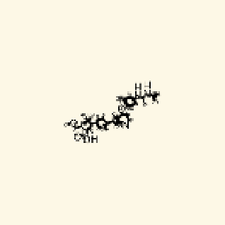 COCCN(CC(c1ccc(-c2cc3nccc(Oc4ccc(NC(=S)NC5CC5)cc4F)c3s2)nc1)C(C)(C)C)C(=O)O